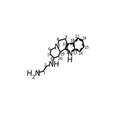 NCCNC1CCN2CCc3c([nH]c4ccccc34)C2C1